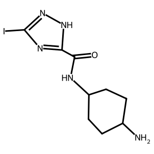 NC1CCC(NC(=O)c2nc(I)n[nH]2)CC1